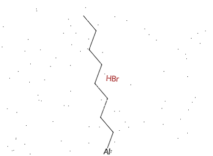 Br.CCCCCCC[CH2][Al]